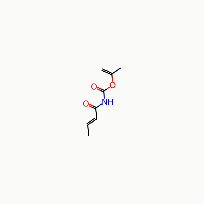 C=C(C)OC(=O)NC(=O)/C=C/C